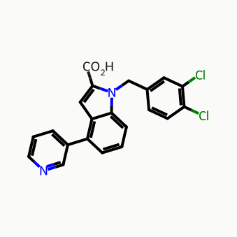 O=C(O)c1cc2c(-c3cccnc3)cccc2n1Cc1ccc(Cl)c(Cl)c1